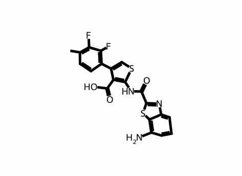 Cc1ccc(-c2csc(NC(=O)c3nc4cccc(N)c4s3)c2C(=O)O)c(F)c1F